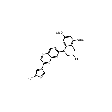 COc1cc(OC)c(F)c(N(CCO)c2ccc3ncc(-c4cnn(C)c4)nc3n2)c1